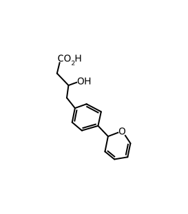 O=C(O)CC(O)Cc1ccc(C2C=CC=CO2)cc1